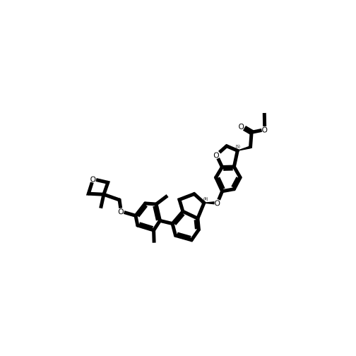 COC(=O)C[C@@H]1COc2cc(O[C@@H]3CCc4c(-c5c(C)cc(OCC6(C)COC6)cc5C)cccc43)ccc21